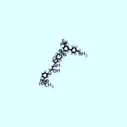 CNS(=O)(=O)c1cccc(OC[C@@H](O)CNC2COC3(CCN(S(=O)(=O)c4cc(-c5ccc(CN)cc5)cc(C(F)(F)F)c4)CC3)C2)c1